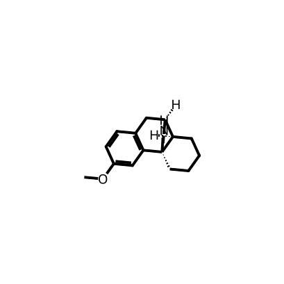 COc1ccc2c(c1)[C@]13CCCC[C@@H]1[C@@H](CNCC3)C2